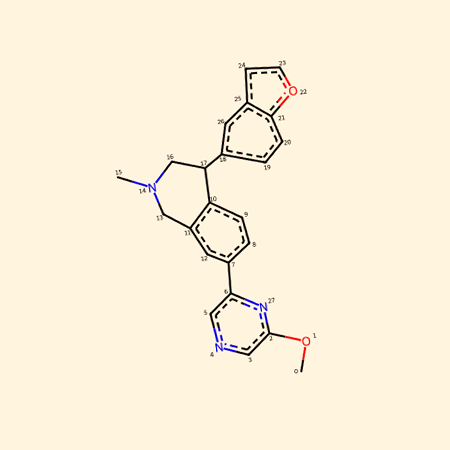 COc1cncc(-c2ccc3c(c2)CN(C)CC3c2ccc3occc3c2)n1